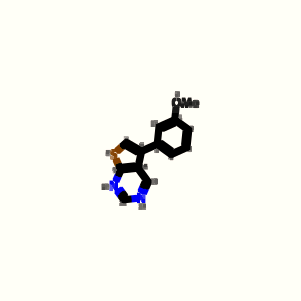 COc1cccc(-c2csc3ncn[c]c23)c1